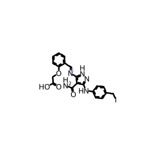 NC(=O)c1c(Nc2ccc(CI)cc2)n[nH]c1/N=C/c1ccccc1OCC(=O)O